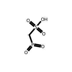 O=P(=O)[CH]S(=O)(=O)O